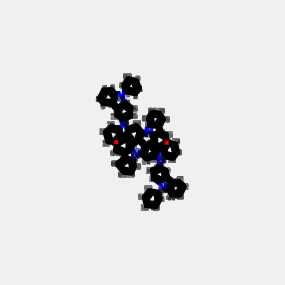 c1ccc(-n2c3ccccc3c3cc(-n4c5ccccc5c5cc(-c6cc7c8ccccc8n(-c8ccc9c(c8)c8ccccc8n9-c8ccccc8)c7cc6-n6c7ccccc7c7ccccc76)c(-n6c7ccccc7c7ccccc76)cc54)ccc32)cc1